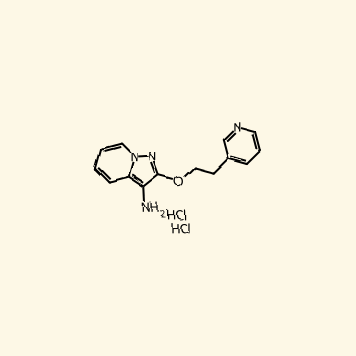 Cl.Cl.Nc1c(OCCc2cccnc2)nn2ccccc12